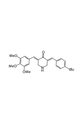 COc1cc(C=C2CNCC(=Cc3ccc(C(C)(C)C)cc3)C2=O)cc(OC)c1OC